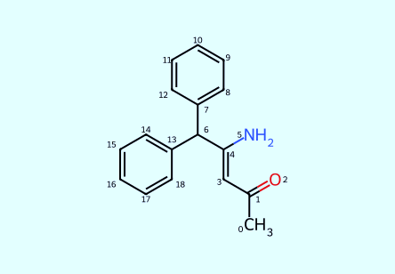 CC(=O)C=C(N)C(c1ccccc1)c1ccccc1